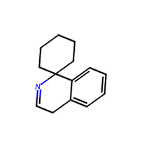 C1=NC2(CCCCC2)c2ccccc2C1